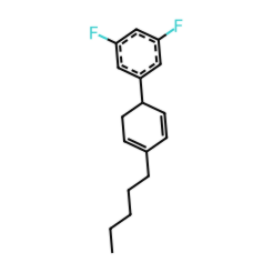 CCCCCC1=CCC(c2cc(F)cc(F)c2)C=C1